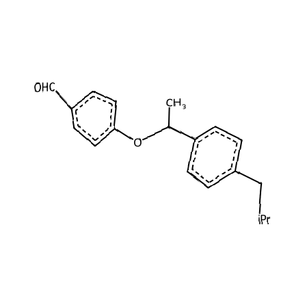 CC(C)Cc1ccc(C(C)Oc2ccc(C=O)cc2)cc1